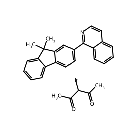 CC(=O)[CH]([Ir])C(C)=O.CC1(C)c2ccccc2-c2ccc(-c3nccc4ccccc34)cc21